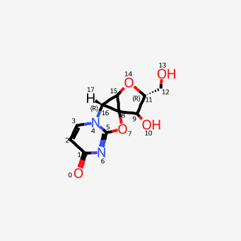 O=c1ccn2c(n1)OC13C(O)[C@@H](CO)OC1[C@@H]23